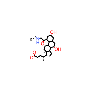 CNCC(=O)C1C[C@H](O)CC2C[C@H](O)C3C(CC[C@@]4(C)C3CC[C@@H]4[C@H](C)CCC(=O)[O-])[C@]21C.[K+]